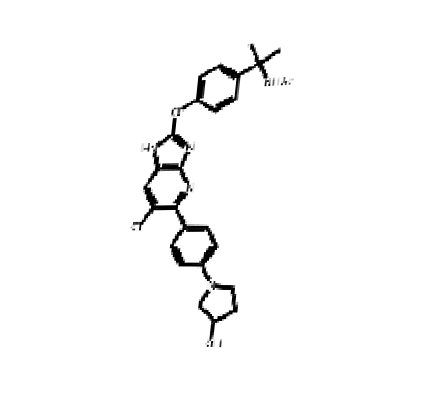 CC(=O)NC(C)(C)c1ccc(Oc2nc3nc(-c4ccc(N5CCC(O)C5)cc4)c(Cl)cc3[nH]2)cc1